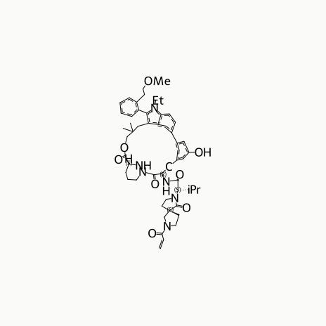 C=CC(=O)N1CC[C@]2(CCN([C@H](C(=O)N[C@@H]3Cc4cc(O)cc(c4)-c4ccc5c(c4)c(c(-c4ccccc4CCOC)n5CC)CC(C)(C)COC(=O)[C@@H]4CCCN(N4)C3=O)C(C)C)C2=O)C1